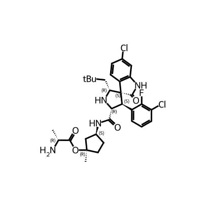 C[C@@H](N)C(=O)O[C@]1(C)CC[C@H](NC(=O)[C@@H]2N[C@H](CC(C)(C)C)[C@]3(C(=O)Nc4cc(Cl)ccc43)[C@H]2c2cccc(Cl)c2F)C1